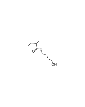 CCC(C)C(=O)OCCCCO